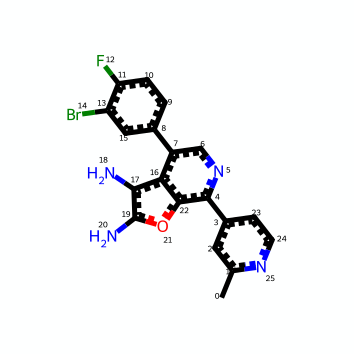 Cc1cc(-c2ncc(-c3ccc(F)c(Br)c3)c3c(N)c(N)oc23)ccn1